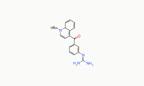 CCCCN1C=CC(C(=O)c2cccc(N=C(N)N)c2)=C2C=CC=CC21